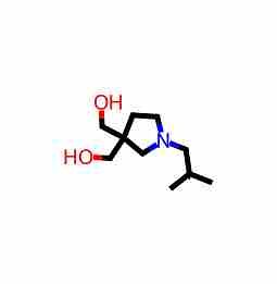 C[C](C)CN1CCC(CO)(CO)C1